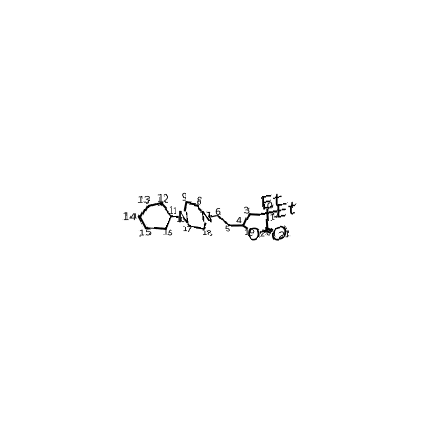 CCC1(CC)CC(CCN2CCN(C3CCCCC3)CC2)OC1=O